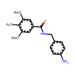 COc1cc(C(=O)NCc2ccc(N)cc2)cc(OC)c1OC(C)=O